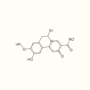 CCCOc1cc2c(cc1O)-c1cc(=O)c(C(=O)N=O)cn1C(CC)C2